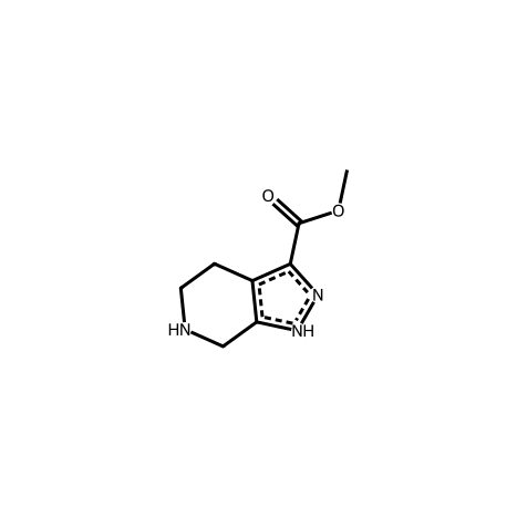 COC(=O)c1n[nH]c2c1CCNC2